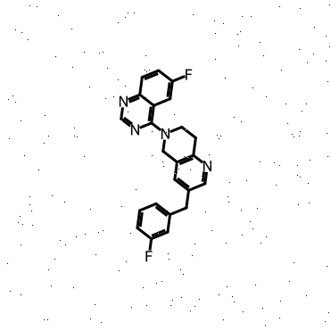 Fc1cccc(Cc2cnc3c(c2)CN(c2ncnc4ccc(F)cc24)CC3)c1